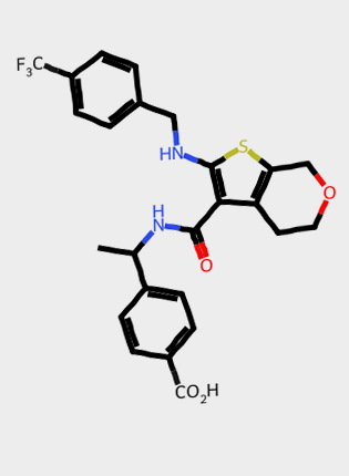 CC(NC(=O)c1c(NCc2ccc(C(F)(F)F)cc2)sc2c1CCOC2)c1ccc(C(=O)O)cc1